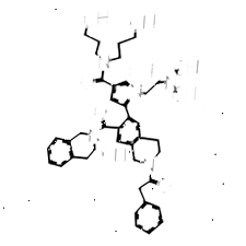 CCCCN(CCCC)C(=O)c1cc(-c2cc3c(cc2C(=O)N2Cc4ccccc4C[C@H]2C)CN(C(=O)Cc2ccccc2)CC3)n(CCN(C)C)c1C